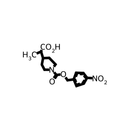 CC(C(=O)O)C1CCN(C(=O)OCc2ccc([N+](=O)[O-])cc2)CC1